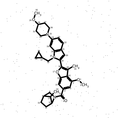 COc1cc(C(=O)N2CC3CCC2C3C)cc2oc(-c3cc4ccc(N5CCC(OC)CC5)cc4n3CC3CC3)c(C)c12